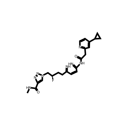 CNC(=O)c1cn(C[C@H](F)CCC(=N)/C=C\C(=N)NC(=O)Cc2cc(C3CC3)ccn2)nn1